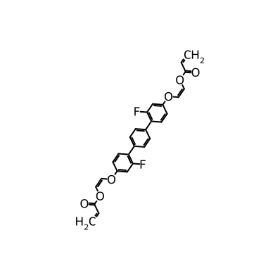 C=CC(=O)O/C=C\Oc1ccc(-c2ccc(-c3ccc(O/C=C\OC(=O)C=C)cc3F)cc2)c(F)c1